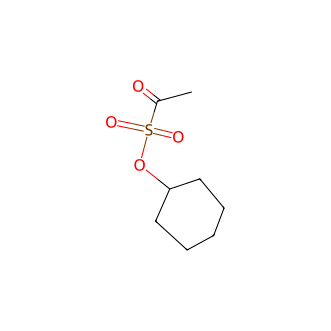 CC(=O)S(=O)(=O)OC1CCCCC1